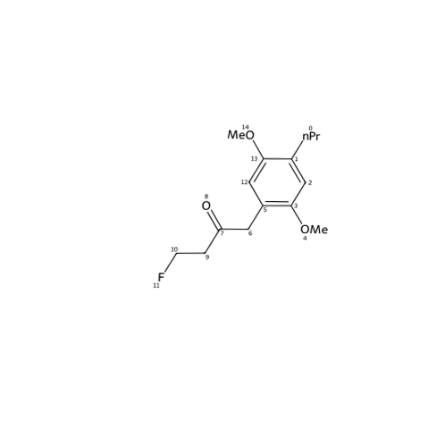 CCCc1cc(OC)c(CC(=O)CCF)cc1OC